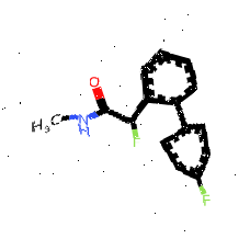 CNC(=O)C(F)c1ccccc1-c1ccc(F)cc1